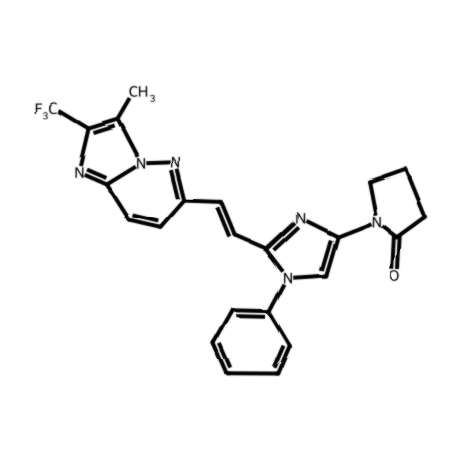 Cc1c(C(F)(F)F)nc2ccc(C=Cc3nc(N4CCCC4=O)cn3-c3ccccc3)nn12